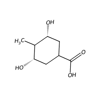 CC1[C@H](O)CC(C(=O)O)C[C@@H]1O